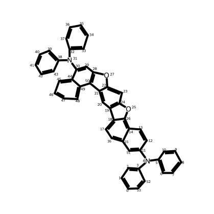 c1ccc(N(c2ccccc2)c2ccc3c(ccc4c5cc6c(cc5oc34)oc3cc(N(c4ccccc4)c4ccccc4)c4ccccc4c36)c2)cc1